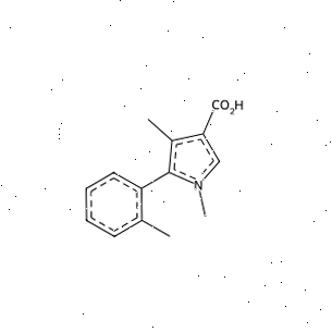 Cc1ccccc1-c1c(C)c(C(=O)O)cn1C